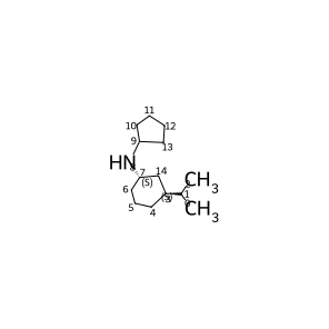 CC(C)[C@H]1CCC[C@H](NC2CCCC2)C1